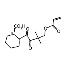 C=CC(=O)OCC(C)(C)C(=O)C(=O)C1CCCC[C@H]1C(=O)O